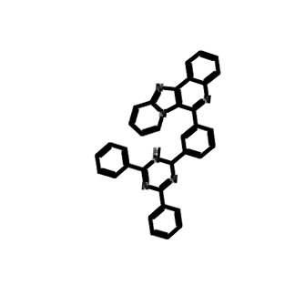 c1ccc(C2=NC(c3cccc(-c4nc5ccccc5c5nc6ccccn6c45)c3)NC(c3ccccc3)=N2)cc1